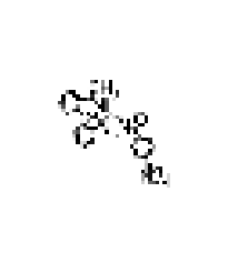 C[C@H](NC(=O)C1(c2ccccc2)CCN(C(=O)c2ccc(-n3cncn3)cc2)CC1)C1=CC=CCC1